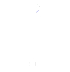 CCCCCCCCCCCCCCC/C=C/Cl